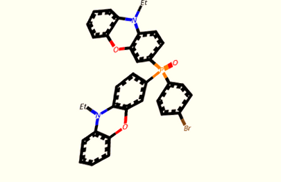 CCN1c2ccccc2Oc2cc(P(=O)(c3ccc(Br)cc3)c3ccc4c(c3)Oc3ccccc3N4CC)ccc21